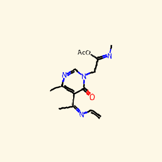 C=C/N=C(/C)c1c(C)ncn(C/C(=N/C)OC(C)=O)c1=O